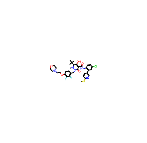 CSc1ccc(-c2cc(Cl)ccc2NC(=O)C2=C(O)[C@H](C(C)(C)C)N(C)N(Cc3ccc(OCCN4CCOCC4)c(F)c3F)C2=O)cn1